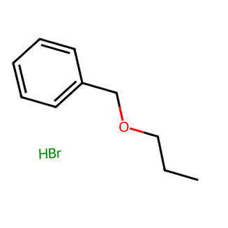 Br.CCCOCc1ccccc1